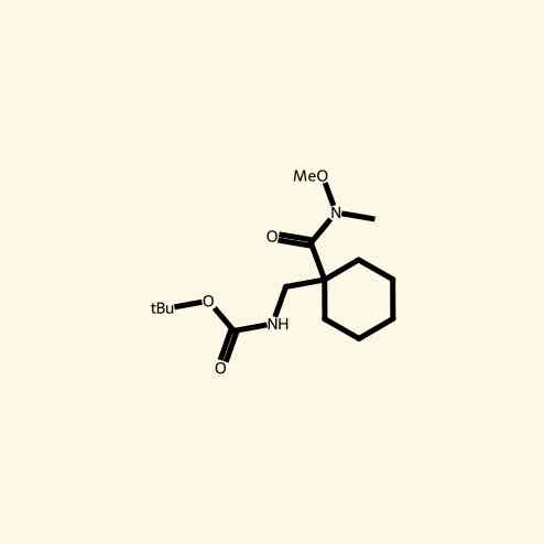 CON(C)C(=O)C1(CNC(=O)OC(C)(C)C)CCCCC1